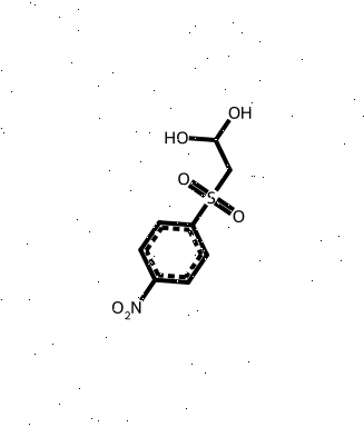 O=[N+]([O-])c1ccc(S(=O)(=O)CC(O)O)cc1